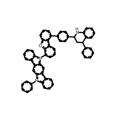 c1ccc(C2CC(c3ccc(-c4cccc5oc6c(-n7c8ccccc8c8cc9c(cc87)c7ccccc7n9-c7ccccc7)cccc6c45)cc3)Nc3ccccc32)cc1